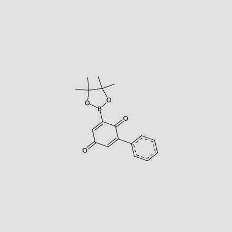 CC1(C)OB(C2=CC(=O)C=C(c3ccccc3)C2=O)OC1(C)C